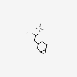 CC[Si](CC)(CC)OC(CC1CCC2OC2C1)OC